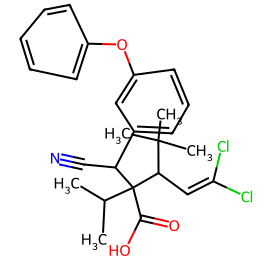 CC(C)C(C(=O)O)(C(C#N)c1cccc(Oc2ccccc2)c1)C(C=C(Cl)Cl)C(C)(C)C